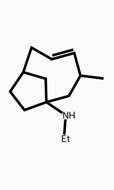 CCNC12CCC(C/C=C/C(C)C1)C2